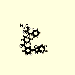 COC(=O)C(c1ccccc1)N1CCN(C(=O)c2cccc(-c3nc4ncccc4o3)c2)CC1